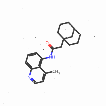 Cc1ccnc2cccc(NC(=O)CC34CCCC(CCC3)C4)c12